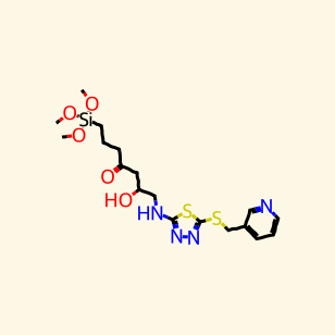 CO[Si](CCCC(=O)CC(O)CNc1nnc(SCc2cccnc2)s1)(OC)OC